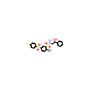 CCc1ccc(S(=O)(=O)c2ccc(F)cc2)cc1S(=O)(=O)NCC(O)c1ccccc1